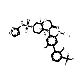 COc1cc(-c2cccc(C(F)(F)F)c2F)c(F)cc1N1C(=O)CO[C@H]2CN(S(=O)(=O)Nc3ccon3)CC[C@@H]21